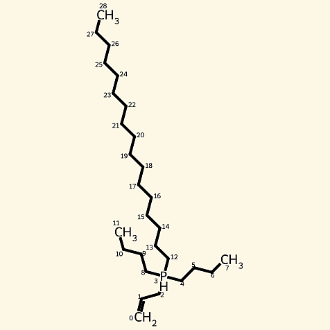 C=CC[PH](CCCC)(CCCC)CCCCCCCCCCCCCCCCC